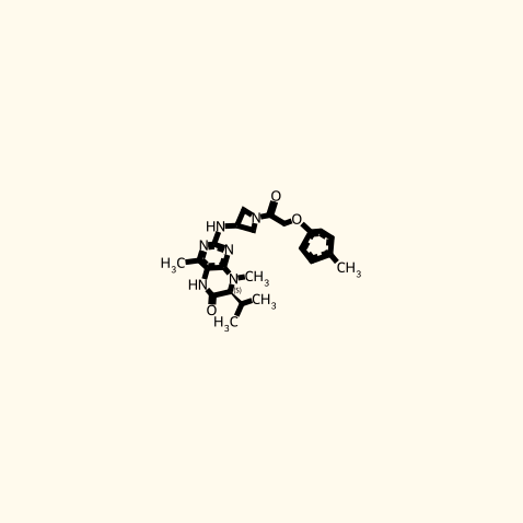 Cc1ccc(OCC(=O)N2CC(Nc3nc(C)c4c(n3)N(C)[C@@H](C(C)C)C(=O)N4)C2)cc1